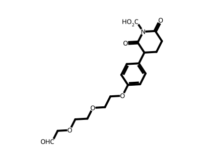 O=CCOCCOCCOc1ccc(C2CCC(=O)N(C(=O)O)C2=O)cc1